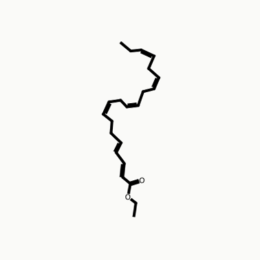 CC/C=C\C/C=C\C/C=C\C/C=C\CC/C=C/C=CC(=O)OCC